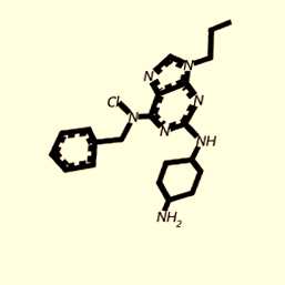 CCCn1cnc2c(N(Cl)Cc3ccccc3)nc(NC3CCC(N)CC3)nc21